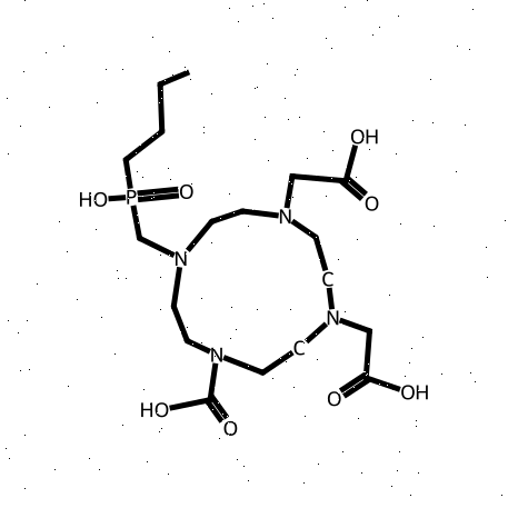 CCCCP(=O)(O)CN1CCN(CC(=O)O)CCN(CC(=O)O)CCN(C(=O)O)CC1